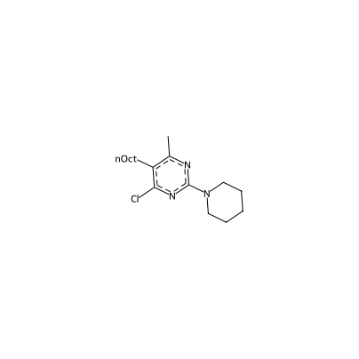 CCCCCCCCc1c(C)nc(N2CCCCC2)nc1Cl